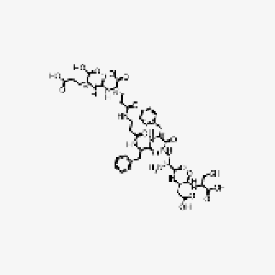 N[C@@H](CNC(=O)[C@H](Cc1ccccc1)NC(=O)C(Cc1ccccc1)NC(=O)CCNC(=O)CC[C@H](NC(=O)N[C@@H](CCC(=O)O)C(=O)O)C(=O)O)C(=O)NC(CC(=O)O)C(=O)NC(CS)C(=O)O